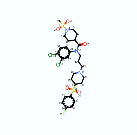 CS(=O)(=O)N1CCC(C(=O)N(CCCN2CCC(S(=O)(=O)c3ccc(F)cc3)CC2)c2ccc(Cl)c(Cl)c2)CC1